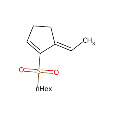 C/C=C1\CCC=C1S(=O)(=O)CCCCCC